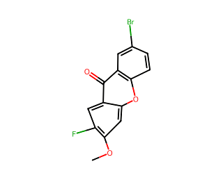 COc1cc2oc3ccc(Br)cc3c(=O)c2cc1F